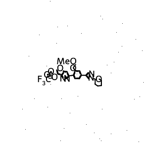 COCOc1cc(-c2cnn(C3CCCCO3)c2)ccc1-c1cc2occ(OS(=O)(=O)C(F)(F)F)c2nn1